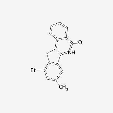 CCc1cc(C)cc2c1Cc1c-2[nH]c(=O)c2ccccc12